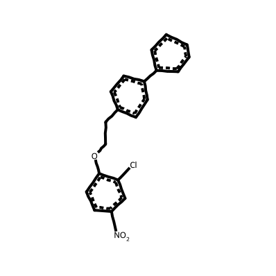 O=[N+]([O-])c1ccc(OCCc2ccc(-c3ccccc3)cc2)c(Cl)c1